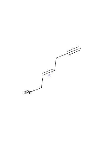 [C]#CC/C=C/CCCC